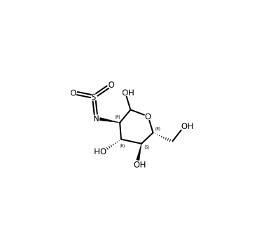 O=S(=O)=N[C@H]1C(O)O[C@H](CO)[C@@H](O)[C@@H]1O